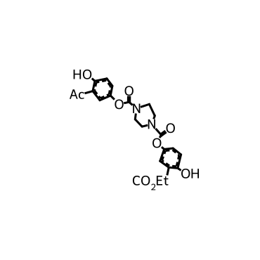 CCOC(=O)c1cc(OC(=O)N2CCN(C(=O)Oc3ccc(O)c(C(C)=O)c3)CC2)ccc1O